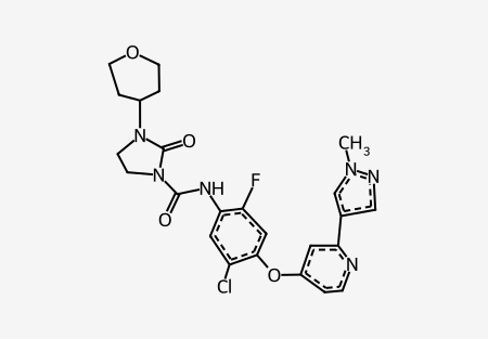 Cn1cc(-c2cc(Oc3cc(F)c(NC(=O)N4CCN(C5CCOCC5)C4=O)cc3Cl)ccn2)cn1